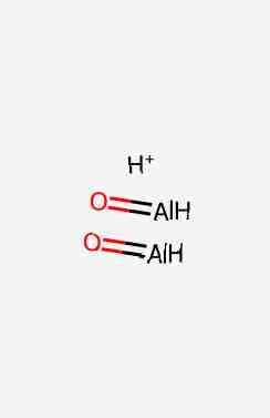 [H+].[O]=[AlH].[O]=[AlH]